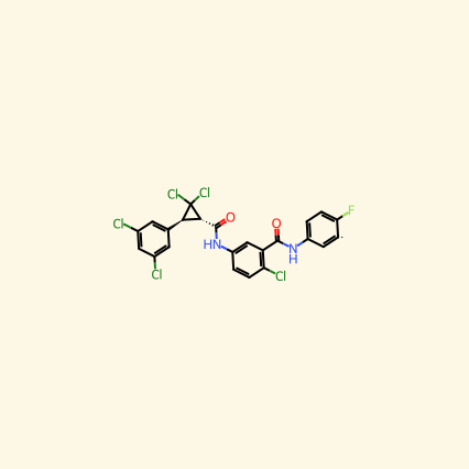 O=C(Nc1c[c]c(F)cc1)c1cc(NC(=O)[C@@H]2[C@@H](c3cc(Cl)cc(Cl)c3)C2(Cl)Cl)ccc1Cl